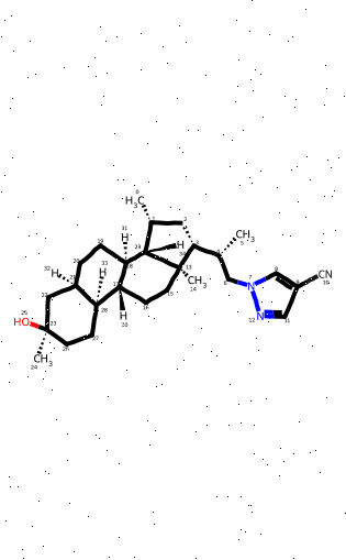 C[C@@H]1C[C@H]([C@H](C)Cn2cc(C#N)cn2)[C@@]2(C)CC[C@H]3[C@@H](CC[C@@H]4C[C@](C)(O)CC[C@@H]43)[C@H]12